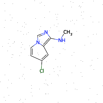 CNc1ncn2ccc(Cl)cc12